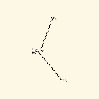 CCCCCCCCCCCCCCCCCCN(C(=O)CCCCCCCCCCCCCCCCC)C(C)O